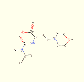 CC(C)N(C)C(=O)N[C@@H](CCN1CCOCC1)C(=O)O